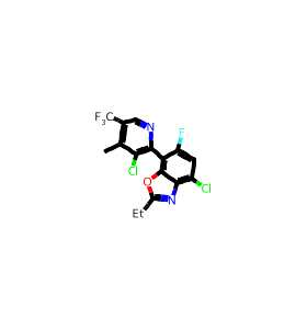 CCc1nc2c(Cl)cc(F)c(-c3ncc(C(F)(F)F)c(C)c3Cl)c2o1